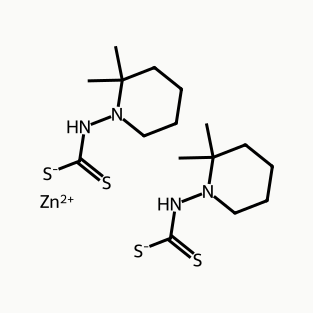 CC1(C)CCCCN1NC(=S)[S-].CC1(C)CCCCN1NC(=S)[S-].[Zn+2]